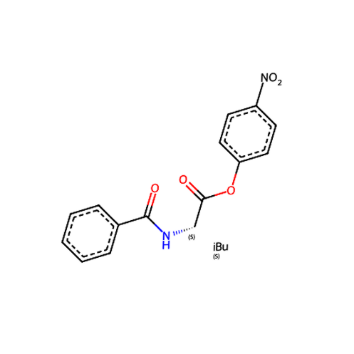 CC[C@H](C)[C@H](NC(=O)c1ccccc1)C(=O)Oc1ccc([N+](=O)[O-])cc1